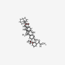 CNC(=O)c1cccc(C)c1Nc1nc(Nc2ccc(NC(=O)C34CC5CC(C3)C(N3CCC(NC(C)=O)C3)C(C5)C4)cc2OC)ncc1C(F)(F)F